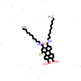 CCCCCCCCCCCNC(=O)c1ccc2c3ccc(C(=O)O)c4c(C(=O)O)ccc(c5c(Br)cc(C(=O)NCCCCCCCCCCC)c1c25)c43